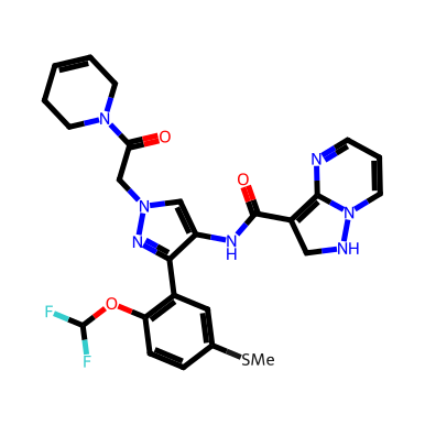 CSc1ccc(OC(F)F)c(-c2nn(CC(=O)N3CC=CCC3)cc2NC(=O)C2=C3N=CC=CN3NC2)c1